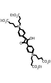 CCOC(=O)CCCN(CCCC(=O)OCC)c1ccc(C2=C(O)C(=C3C=CC(=[N+](CCCC(=O)OCC)CCCC(=O)OCC)C=C3)C2=O)cc1